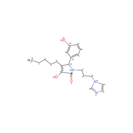 CCCCCC1=C(O)C(=O)N(CCCn2ccnc2)C1c1cccc(O)c1